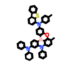 Cc1ccc(N(C2=CC=CC3c4ccccc4SC23)c2ccc3c(c2)Oc2c(C)ccc4c2B3c2ccc(N(C3=CCCC=C3)c3ccccc3)cc2N4c2ccccc2)cc1